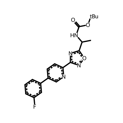 CC(NC(=O)OC(C)(C)C)c1nc(-c2ccc(-c3cccc(F)c3)cn2)no1